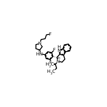 C=C(CC)N1CCc2c([nH]c3ccccc23)[C@H]1c1c(F)cc(N[C@H]2CCN(CCCF)C2)cc1F